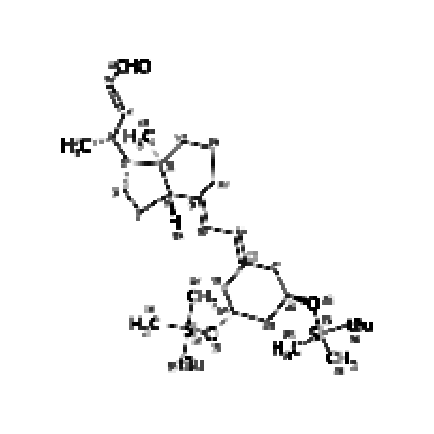 C[C@H](/C=C/C=O)[C@H]1CC[C@H]2/C(=C/C=C3C[C@@H](O[Si](C)(C)C(C)(C)C)C[C@H](O[Si](C)(C)C(C)(C)C)C3)CCC[C@]12C